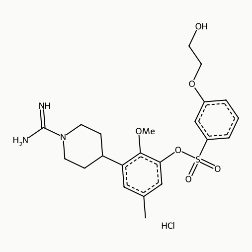 COc1c(OS(=O)(=O)c2cccc(OCCO)c2)cc(C)cc1C1CCN(C(=N)N)CC1.Cl